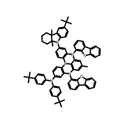 Cc1cc2c3c(c1)N(c1cccc4c1sc1ccccc14)c1cc(N4c5ccc(C(C)(C)C)cc5C5(C)CCCCC45C)ccc1B3c1ccc(N(c3ccc(C(C)(C)C)cc3)c3ccc(C(C)(C)C)cc3)cc1N2c1cccc2c1oc1ccccc12